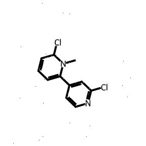 CN1C(c2ccnc(Cl)c2)=CC=CC1Cl